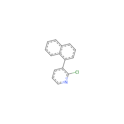 Clc1ncccc1-c1cccc2ccccc12